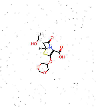 CC(O)[C@@H]1C(=O)N2C(C(=O)O)=C(OC3COCOC3)S[C@H]12